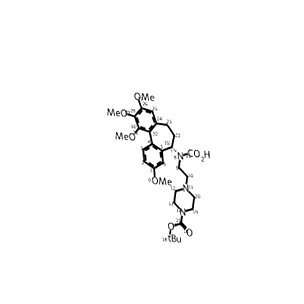 COc1ccc2c(c1)[C@@H](N(CCN1CCN(C(=O)OC(C)(C)C)CC1)C(=O)O)CCc1cc(OC)c(OC)c(OC)c1-2